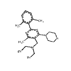 Cc1cccc(C)c1-c1nc(C)c(CN(CC(C)C)CC(C)C)c(N2CC[N]CC2)n1